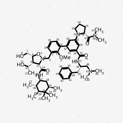 COc1c(CN2O[C@@H](CO)[C@@H]([C@H](C)O)[C@H]2C(=O)N[C@H]2C[C@@H](C)C(C)(C)[C@@H](C)[C@@H]2C)cccc1-c1cc(C(=O)N[C@@H](Cc2ccccc2)CN(C)C)cc(N2CCC[C@@H]2C(=O)N(C)C)c1